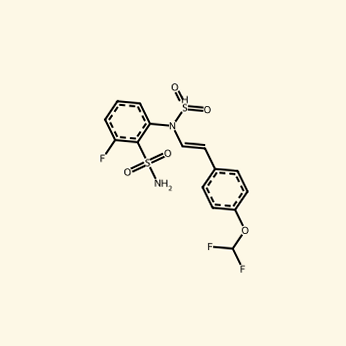 NS(=O)(=O)c1c(F)cccc1N(C=Cc1ccc(OC(F)F)cc1)[SH](=O)=O